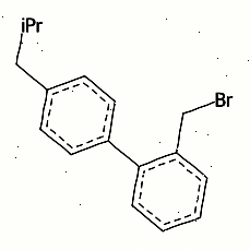 CC(C)Cc1ccc(-c2ccccc2CBr)cc1